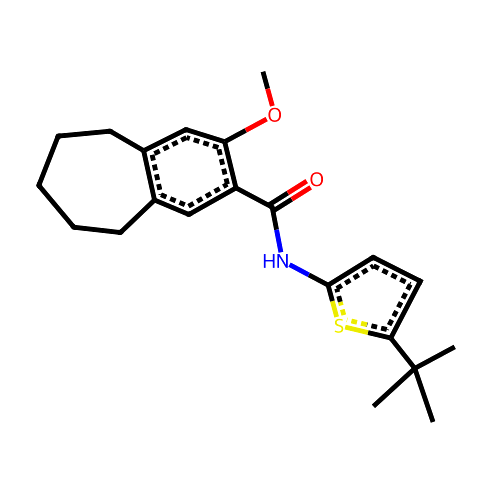 COc1cc2c(cc1C(=O)Nc1ccc(C(C)(C)C)s1)CCCCC2